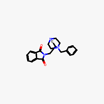 O=C1c2ccccc2C(=O)N1CC1CN2CC[N+]1(Cc1ccccc1)CC2